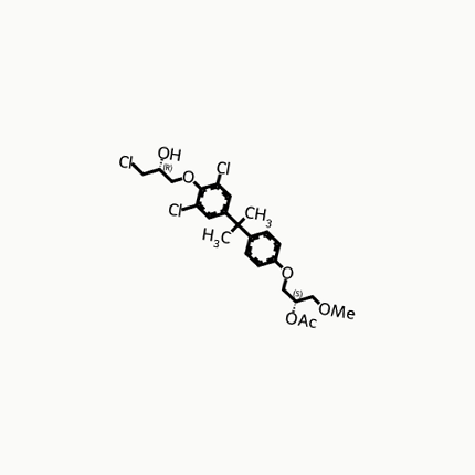 COC[C@@H](COc1ccc(C(C)(C)c2cc(Cl)c(OC[C@@H](O)CCl)c(Cl)c2)cc1)OC(C)=O